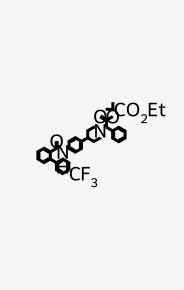 CCOC(=O)C(C)(C)OC(=O)C(c1ccccc1)N1CCC(c2ccc(NC(=O)c3ccccc3-c3ccc(C(F)(F)F)cc3)cc2)CC1